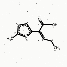 CCC=C(C(=O)O)c1csc(C)n1